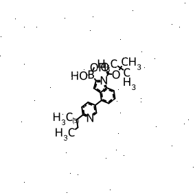 CC[C@H](C)c1ccc(-c2cccc3c2cc(B(O)O)n3C(=O)OC(C)(C)C)cn1